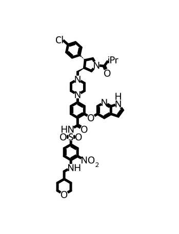 CC(C)C(=O)N1C[C@@H](CN2CCN(c3ccc(C(=O)NS(=O)(=O)c4ccc(NCC5CCOCC5)c([N+](=O)[O-])c4)c(Oc4cnc5[nH]ccc5c4)c3)CC2)[C@H](c2ccc(Cl)cc2)C1